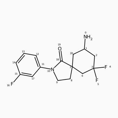 NC1CC(F)(F)CC2(CCN(c3cccc(F)c3)C2=O)C1